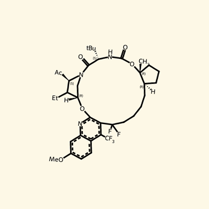 CCC1[C@@H]2CN(C(=O)[C@H](C(C)(C)C)NC(=O)O[C@]3(C)CCC[C@H]3CCCCC(F)(F)c3c(nc4cc(OC)ccc4c3C(F)(F)F)O2)[C@@H]1C(C)=O